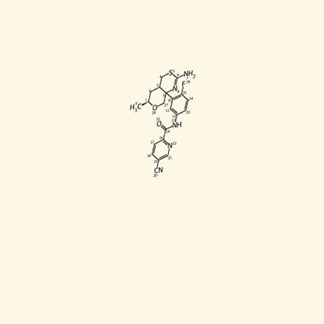 C[C@H]1CC2CSC(N)=NC2(c2cc(NC(=O)c3ccc(C#N)cn3)ccc2F)CO1